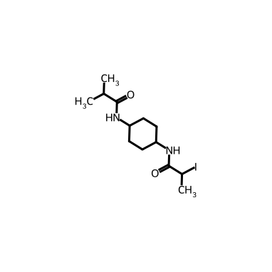 CC(C)C(=O)NC1CCC(NC(=O)C(C)I)CC1